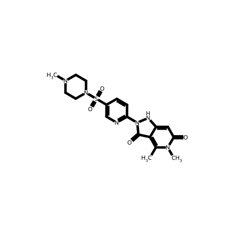 Cc1c2c(=O)n(-c3ccc(S(=O)(=O)N4CCN(C)CC4)cn3)[nH]c2cc(=O)n1C